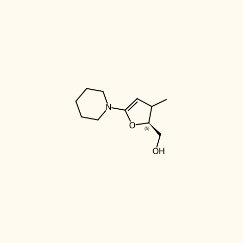 CC1C=C(N2CCCCC2)O[C@@H]1CO